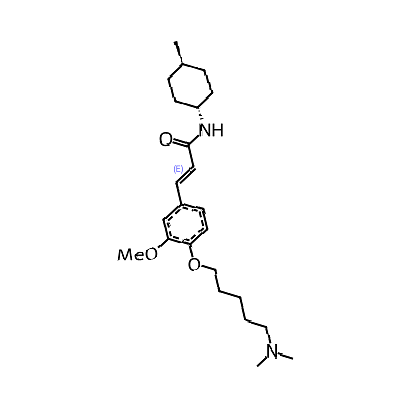 COc1cc(/C=C/C(=O)N[C@H]2CC[C@H](C)CC2)ccc1OCCCCCN(C)C